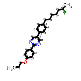 C=CCOc1ccc(-c2ncc(-c3ccc(CCCCCC(C)F)cc3)cn2)cc1